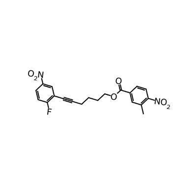 Cc1cc(C(=O)OCCCCC#Cc2cc([N+](=O)[O-])ccc2F)ccc1[N+](=O)[O-]